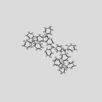 c1ccc(N(c2ccc3c(c2)c2cc([Si](c4ccccc4)(c4ccccc4)c4ccccc4)ccc2n3-c2ccccc2)c2ccc3c(c2)c2cc([Si](c4ccccc4)(c4ccccc4)c4ccccc4)ccc2n3-c2ccccc2)cc1